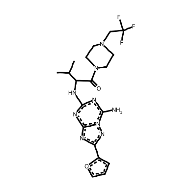 CC(C)C(Nc1nc(N)n2nc(-c3ccco3)nc2n1)C(=O)N1CCN(CC(F)(F)F)CC1